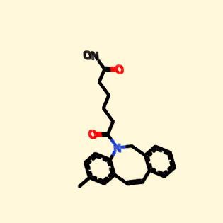 Cc1ccc2c(c1)/C=C\c1ccccc1CN2C(=O)CCCCC(=O)N=O